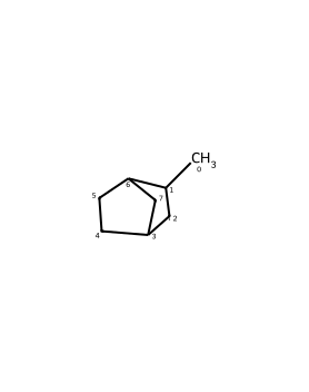 CC1[CH]C2CCC1C2